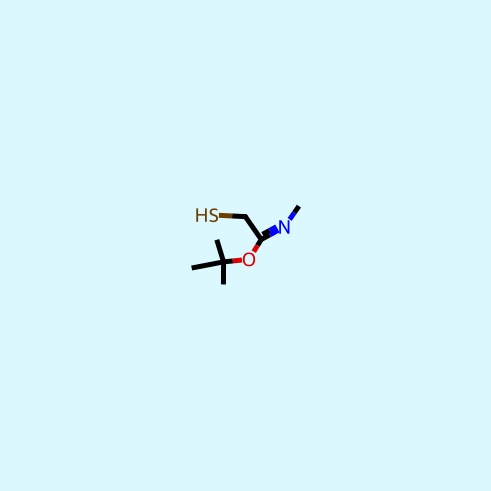 C/N=C(\CS)OC(C)(C)C